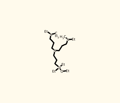 CCO[Si](CC)(CC)CCCN(CCCN(C)CC)CCCN(C)CC